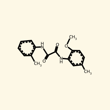 COc1ccc(C)cc1NC(=O)C(=O)Nc1ccccc1C